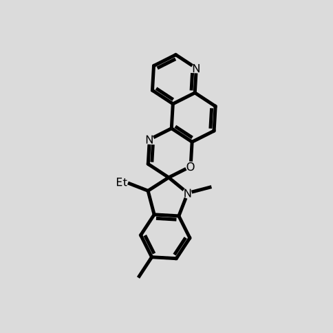 CCC1c2cc(C)ccc2N(C)C12C=Nc1c(ccc3ncccc13)O2